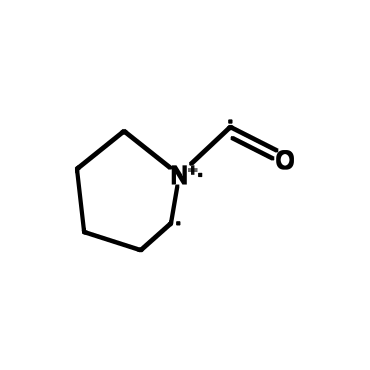 O=[C][N+]1[CH]CCCC1